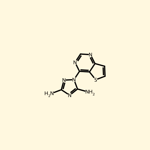 Nc1nc(N)n(-c2ncnc3ccsc23)n1